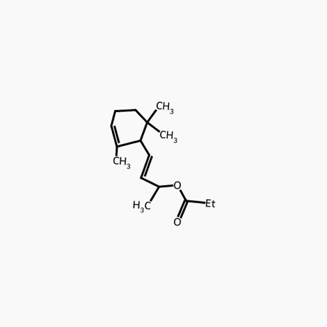 CCC(=O)OC(C)/C=C/C1C(C)=CCCC1(C)C